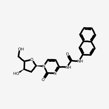 O=C(Nc1ccc2ccccc2c1)Nc1ccn([C@H]2C[C@@H](O)C(CO)O2)c(=O)n1